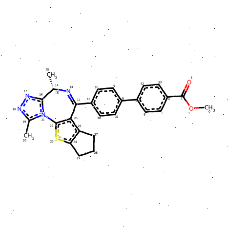 COC(=O)c1ccc(-c2ccc(C3=N[C@@H](C)c4nnc(C)n4-c4sc5c(c43)CCC5)cc2)cc1